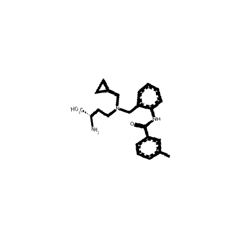 Cc1cccc(C(=O)Nc2ccccc2CN(CC[C@H](N)C(=O)O)CC2CC2)c1